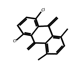 C=c1c2c(C)ccc(C)c2c(=C)c2c(Cl)ccc(Cl)c12